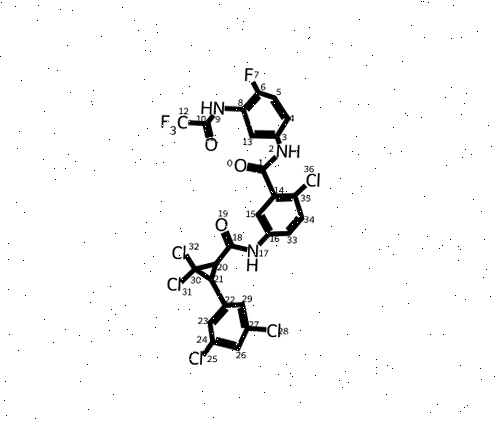 O=C(Nc1ccc(F)c(NC(=O)C(F)(F)F)c1)c1cc(NC(=O)C2C(c3cc(Cl)cc(Cl)c3)C2(Cl)Cl)ccc1Cl